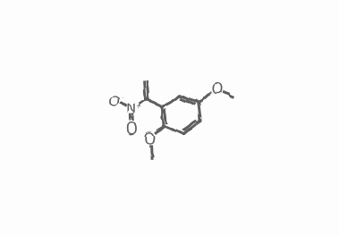 C=C(c1cc(OC)ccc1OC)[N+](=O)[O-]